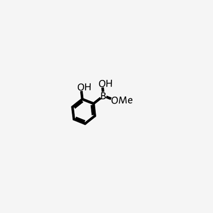 COB(O)c1ccccc1O